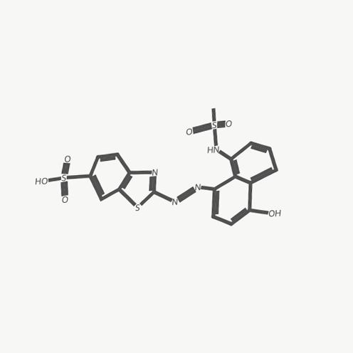 CS(=O)(=O)Nc1cccc2c(O)ccc(/N=N/c3nc4ccc(S(=O)(=O)O)cc4s3)c12